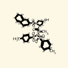 Cc1ccc(S(=O)(=O)N(N(C)C(=O)[C@@H]2C[C@@H](S)CN2S(=O)(=O)c2ccc3ccccc3c2)S(=O)(=O)c2ccc(C)cc2)cc1